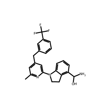 Cc1cc(Cc2cccc(C(F)(F)F)c2)cc(N2CCc3c(C(N)O)cccc32)n1